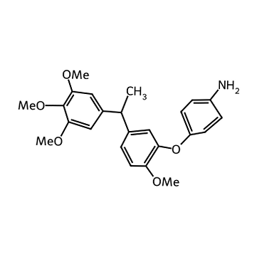 COc1ccc(C(C)c2cc(OC)c(OC)c(OC)c2)cc1Oc1ccc(N)cc1